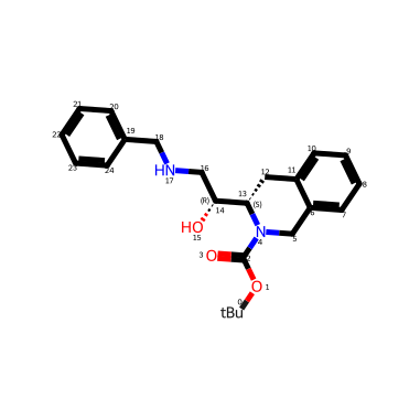 CC(C)(C)OC(=O)N1Cc2ccccc2C[C@H]1[C@H](O)CNCc1ccccc1